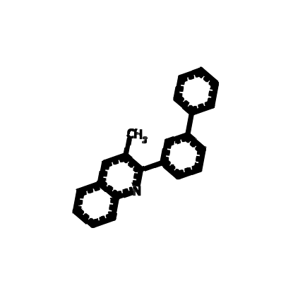 Cc1cc2ccccc2nc1-c1cccc(-c2ccccc2)c1